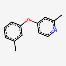 Cc1cccc(Oc2ccnc(C)c2)c1